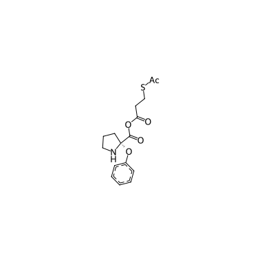 CC(=O)SCCC(=O)OC(=O)[C@]1(Oc2ccccc2)CCCN1